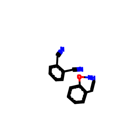 C1=Cc2ccccc2ON1.N#Cc1ccccc1C#N